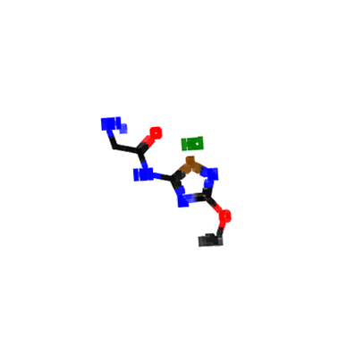 CCCCOc1nsc(NC(=O)CN)n1.Cl